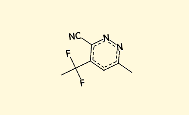 Cc1cc(C(C)(F)F)c(C#N)nn1